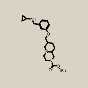 CC(C)(C)OC(=O)N1CCN2CC(COc3cccc(CNC4CC4)c3)CCC2C1